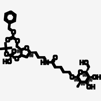 C[C@H]1[C@H](OCCCCC(=O)NCCC[C@H]2CC(OP(=O)(O)OC(C)(C)C)[C@@H](COC(=O)OCc3ccccc3)O2)O[C@H](CO)[C@H](O)[C@@H]1O